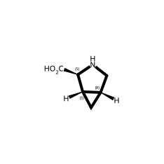 O=C(O)[C@H]1NC[C@@H]2C[C@@H]21